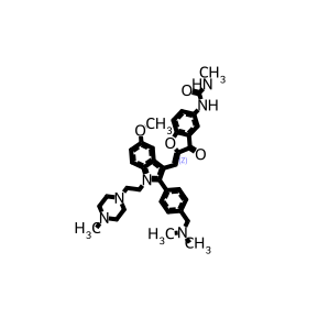 CNC(=O)Nc1ccc2c(c1)C(=O)/C(=C/c1c(-c3ccc(CN(C)C)cc3)n(CCN3CCN(C)CC3)c3ccc(OC)cc13)O2